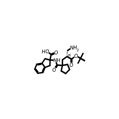 CC(C)(C)OC(=O)[C@@H](CN)CC1(C(=O)NC2(C(=O)O)Cc3ccccc3C2)CCCC1